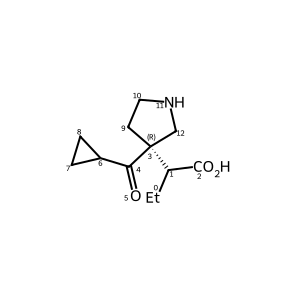 CCC(C(=O)O)[C@]1(C(=O)C2CC2)CCNC1